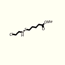 COC(=O)CCCCSNCCCl